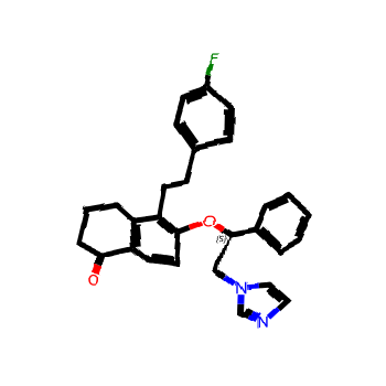 O=C1CCCc2c1ccc(O[C@H](Cn1ccnc1)c1ccccc1)c2CCc1ccc(F)cc1